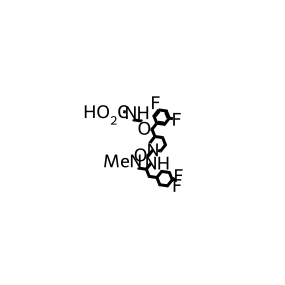 CNCC(CC1CCC(F)(F)CC1)NC(=O)N1CCCC(C(OCCNC(=O)O)c2cc(F)cc(F)c2)C1